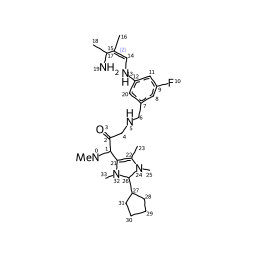 CNC(C(=O)CNCc1cc(F)cc(N/C=C(/C)C(C)N)c1)C1=C(C)N(C)C(C2CCCC2)N1C